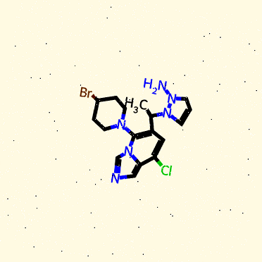 CC(c1cc(Cl)c2cncn2c1N1CCC(Br)CC1)N1C=CCN1N